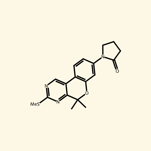 CSc1ncc2c(n1)C(C)(C)Oc1cc(N3CCCC3=O)ccc1-2